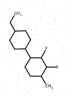 CCC1CCC(C2CCC(C)C(F)C2F)CC1